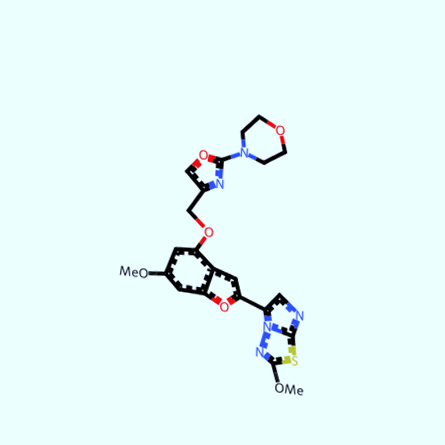 COc1cc(OCc2coc(N3CCOCC3)n2)c2cc(-c3cnc4sc(OC)nn34)oc2c1